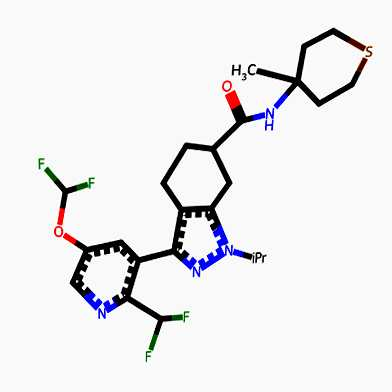 CC(C)n1nc(-c2cc(OC(F)F)cnc2C(F)F)c2c1CC(C(=O)NC1(C)CCSCC1)CC2